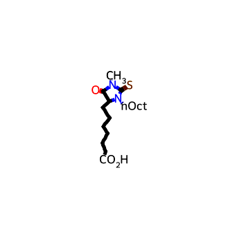 CCCCCCCCN1C(=S)N(C)C(=O)C1CCCCCCC(=O)O